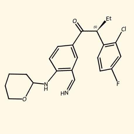 CC[C@H](C(=O)c1ccc(NC2CCCCO2)c(C=N)c1)c1ccc(F)cc1Cl